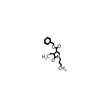 CCCCN1CC(C(=O)OCc2ccccc2)C(CC)C1=O